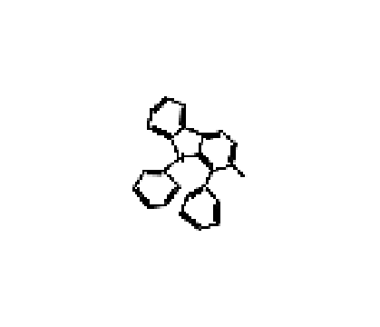 Cc1ccc2c3ccccc3n(-c3ccccc3)c2c1-c1ccccc1